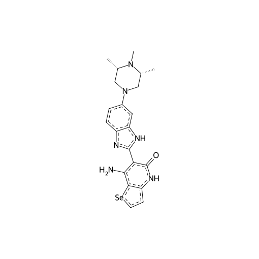 C[C@@H]1CN(c2ccc3nc(-c4c(N)c5[se]ccc5[nH]c4=O)[nH]c3c2)C[C@H](C)N1C